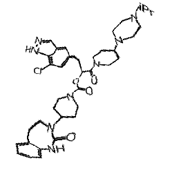 CC(C)N1CCN(C2CCN(C(=O)C(Cc3cc(Cl)c4[nH]ncc4c3)OC(=O)N3CCC(N4CCc5ccccc5NC4=O)CC3)CC2)CC1